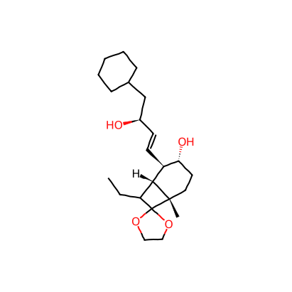 CCC1[C@@H]2[C@@H](/C=C/[C@@H](O)CC3CCCCC3)[C@H](O)CC[C@]2(C)C12OCCO2